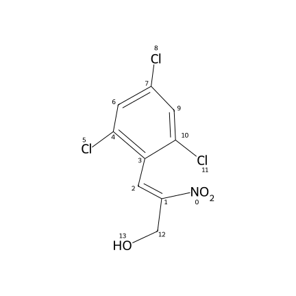 O=[N+]([O-])/C(=C\c1c(Cl)cc(Cl)cc1Cl)CO